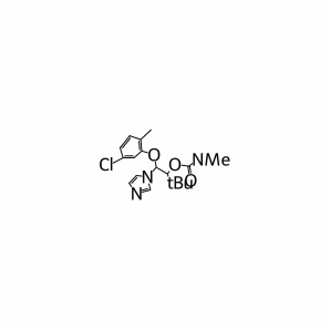 CNC(=O)OC(C(Oc1cc(Cl)ccc1C)n1ccnc1)C(C)(C)C